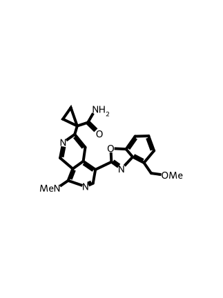 CNc1ncc(-c2nc3c(COC)cccc3o2)c2cc(C3(C(N)=O)CC3)ncc12